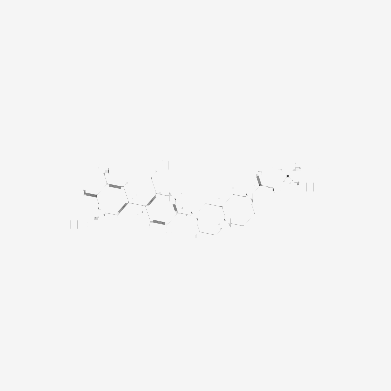 CCc1nc(N2CCN3CCN(C(=O)OC(C)(C)C)CC3C2)ccc1-c1cc(C)c(=O)n(C)c1